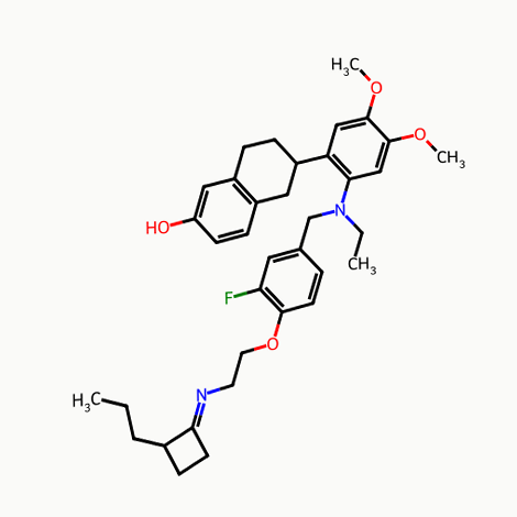 CCCC1CC/C1=N\CCOc1ccc(CN(CC)c2cc(OC)c(OC)cc2C2CCc3cc(O)ccc3C2)cc1F